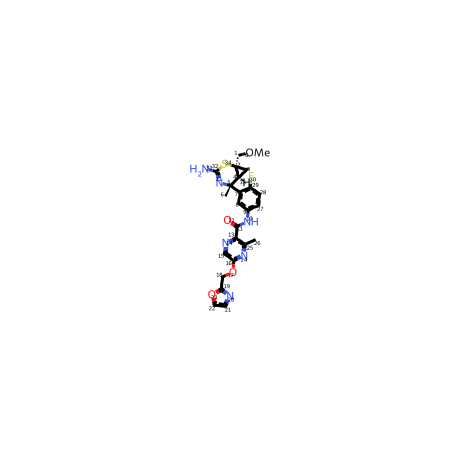 COC[C@]12C[C@H]1[C@](C)(c1cc(NC(=O)c3ncc(OCc4ncco4)nc3C)ccc1F)N=C(N)S2